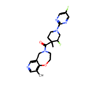 CC1(C(=O)N2CCOc3c(C#N)cncc3C2)CCN(c2ncc(F)cn2)CC1F